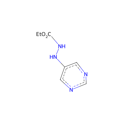 CCOC(=O)NNc1cncnc1